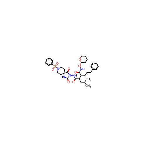 CC(C)C[C@@H](C(=O)NN1C(=O)NC2(CCN(S(=O)(=O)c3ccccc3)CC2)C1=O)[C@H](CCCc1ccccc1)C(=O)NOC1CCCCO1